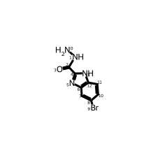 NNC(=O)c1nc2cc(Br)ccc2[nH]1